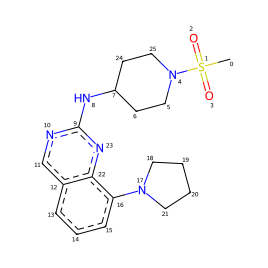 CS(=O)(=O)N1CCC(Nc2ncc3cccc(N4CCCC4)c3n2)CC1